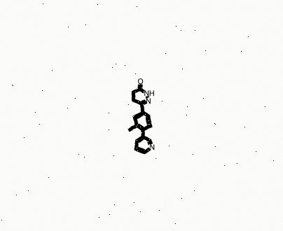 Cc1cc(C2=NNC(=O)CC2)ccc1-c1cccnc1